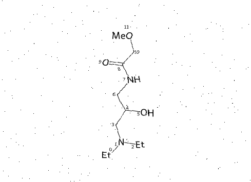 CCN(CC)CC(O)CNC(=O)COC